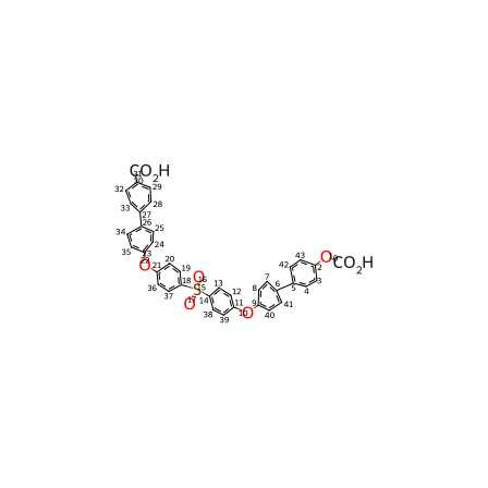 O=C(O)Oc1ccc(-c2ccc(Oc3ccc(S(=O)(=O)c4ccc(Oc5ccc(-c6ccc(C(=O)O)cc6)cc5)cc4)cc3)cc2)cc1